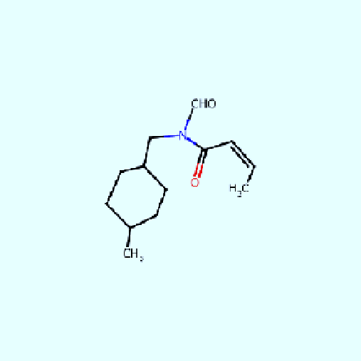 C/C=C\C(=O)N(C=O)CC1CCC(C)CC1